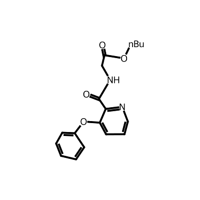 CCCCOC(=O)CNC(=O)c1ncccc1Oc1ccccc1